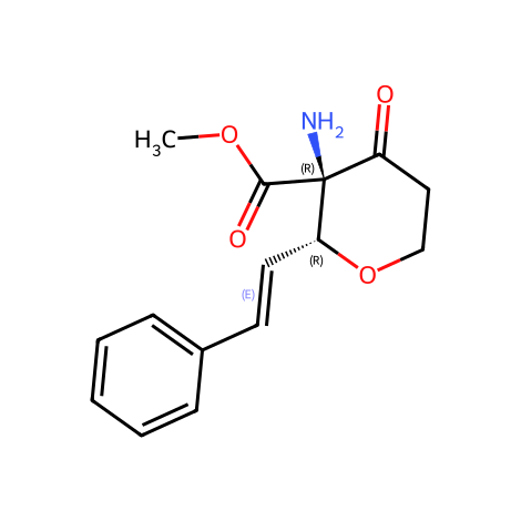 COC(=O)[C@]1(N)C(=O)CCO[C@@H]1/C=C/c1ccccc1